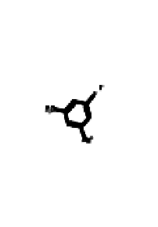 Fc1c[c]([Mg+])cc(C(F)(F)F)c1.[I-]